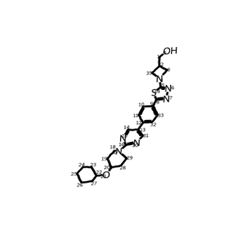 OCC1CN(c2nnc(-c3ccc(-c4cnc(N5CCC(OC6CCCCC6)CC5)nc4)cc3)s2)C1